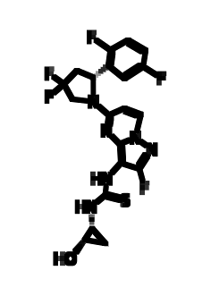 O[C@@H]1C[C@H]1NC(=S)Nc1c(F)nn2ccc(N3CC(F)(F)C[C@@H]3c3cc(F)ccc3F)nc12